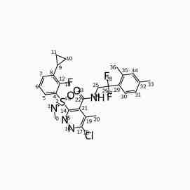 CN=S(=O)(c1cccc(C2CC2)c1F)c1nnc(Cl)c(C)c1C(=O)NCC(F)(F)c1ccc(C)cc1C